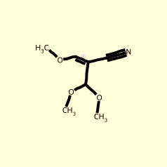 CO/C=C(/C#N)C(OC)OC